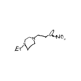 CCN1CCN(CCO[N+](=O)[O-])CC1